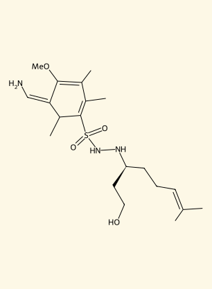 COC1=C(C)C(C)=C(S(=O)(=O)NN[C@H](CCO)CCC=C(C)C)C(C)C1=CN